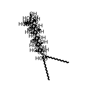 CCCCCCCCCCCCC/C=C/[C@@H](O)[C@H](CO[C@@H]1OC(CO)[C@@H](O[C@@H]2OC(CO)[C@H](O[C@@H]3OC(CO)[C@H](O)[C@H](O[C@@H]4OC(CO)[C@H](O)[C@H](O[C@@H]5OC(CO)[C@H](O)[C@H](O[C@]6(C(=O)O)CC(O)[C@@H](NC(=O)CO)C([C@H](O)[C@H](O)CO)O6)C5O)C4NC(C)=O)C3O)[C@H](O)C2O)[C@H](O)C1O)NC(=O)CCCCCCCCCCCCCCC